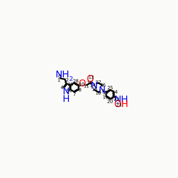 NCCc1c[nH]c2ccc(OCC(=O)N3CCN(c4ccc(NO)cc4)CC3)cc12